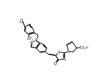 O=C1N=C(N2CCC(C(=O)O)C2)S/C1=C\c1ccc2c(cnn2Cc2ccc(Cl)cc2C(F)(F)F)c1